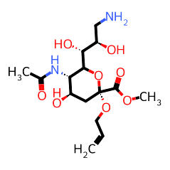 C=CCO[C@]1(C(=O)OC)C[C@@H](O)[C@H](NC(C)=O)C([C@H](O)[C@H](O)CN)O1